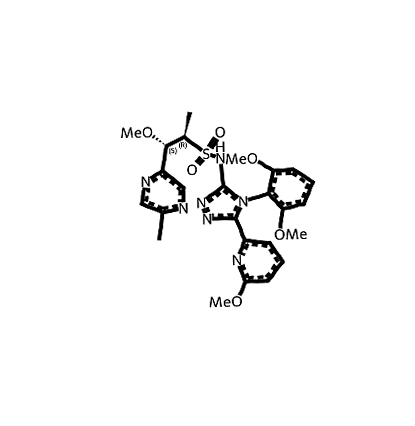 COc1cccc(-c2nnc(NS(=O)(=O)[C@H](C)[C@@H](OC)c3cnc(C)cn3)n2-c2c(OC)cccc2OC)n1